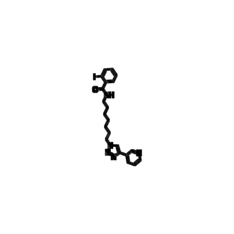 O=C(NCCCCCCCn1cc(-c2cccnc2)nn1)c1ccccc1I